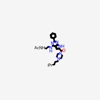 CC(=O)NCCNc1nc(-c2ccccc2)nc2[nH]c(C(=O)N3CCN(CCCC(C)C)CC3)cc12